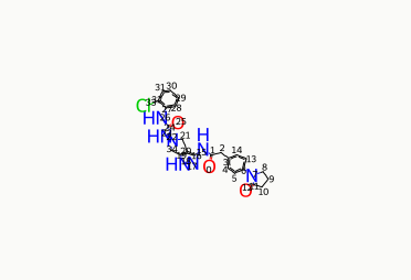 O=C(Cc1ccc(N2CCCC2=O)cc1)Nc1n[nH]c2c1CN(NC(=O)Nc1ccccc1Cl)C2